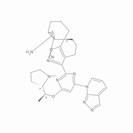 C[C@H](Oc1cc(-n2cccc3cnnc2-3)nc(-c2noc3c2CCC[C@@]32CCCc3sc(N)c(C#N)c32)n1)[C@@H]1CCCN1C